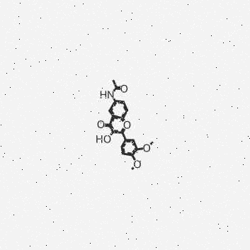 COc1ccc(-c2oc3ccc(NC(C)=O)cc3c(=O)c2O)cc1OC